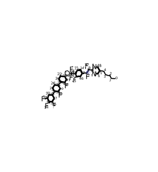 CCCCCc1cnc(/C(F)=C(\F)c2ccc(C(F)(F)Oc3ccc(-c4ccc(-c5cc(F)c(F)c(F)c5)c(F)c4)c(F)c3)c(F)c2)nc1